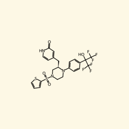 O=c1cc(C[C@@H]2CN(S(=O)(=O)c3cccs3)CCN2c2ccc(C(O)(C(F)(F)F)C(F)(F)F)cc2)cc[nH]1